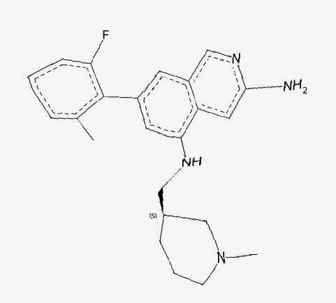 Cc1cccc(F)c1-c1cc(NC[C@@H]2CCCN(C)C2)c2cc(N)ncc2c1